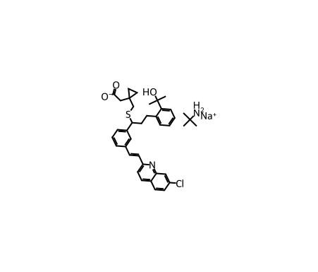 CC(C)(C)N.CC(C)(O)c1ccccc1CCC(SCC1(CC(=O)[O-])CC1)c1cccc(/C=C/c2ccc3ccc(Cl)cc3n2)c1.[Na+]